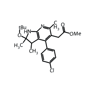 COC(=O)Cc1c(C)nc2c(c1-c1ccc(Cl)cc1)C(C)C(C)(OC(C)(C)C)N2